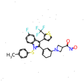 Cc1ccc(Sn2c(C3=CCCC(N4CC(C(=O)N=O)C4)=C3)c(-c3ccsc3C(F)(F)F)c3cc(F)ccc32)cc1